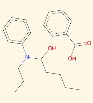 CCCCC(O)N(CCC)c1ccccc1.O=C(O)c1ccccc1